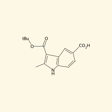 Cc1[nH]c2ccc(C(=O)O)cc2c1C(=O)OC(C)(C)C